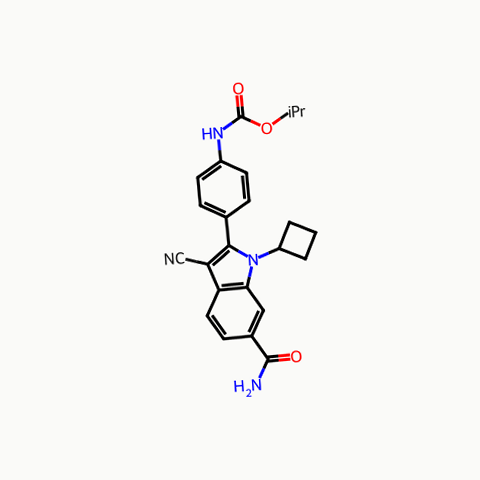 CC(C)OC(=O)Nc1ccc(-c2c(C#N)c3ccc(C(N)=O)cc3n2C2CCC2)cc1